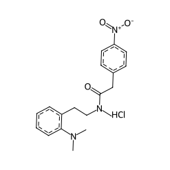 CN(CCc1ccccc1N(C)C)C(=O)Cc1ccc([N+](=O)[O-])cc1.Cl